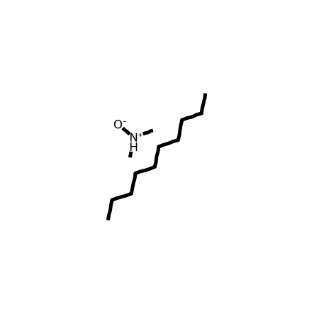 CCCCCCCCCC.C[NH+](C)[O-]